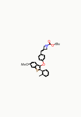 COc1ccc2c(Oc3ccc(C=C4CN(C(=O)OC(C)(C)C)C4)cc3)c(-c3ccccc3C)sc2c1